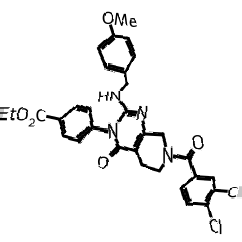 CCOC(=O)c1ccc(-n2c(NCc3ccc(OC)cc3)nc3c(c2=O)CCN(C(=O)c2ccc(Cl)c(Cl)c2)C3)cc1